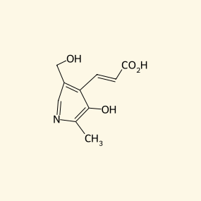 Cc1ncc(CO)c(C=CC(=O)O)c1O